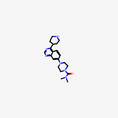 CN(C)C(=O)N1CCN(c2ccc3c(C4CCNCC4)ncnc3c2)CC1